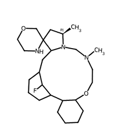 C[C@@H]1CC2(COCCN2)C2CC3CCCC(C3F)C3CCCCC3OCCN(C)CN21